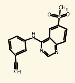 C#Cc1cccc(Nc2ncnc3ccc(S(C)(=O)=O)cc23)c1